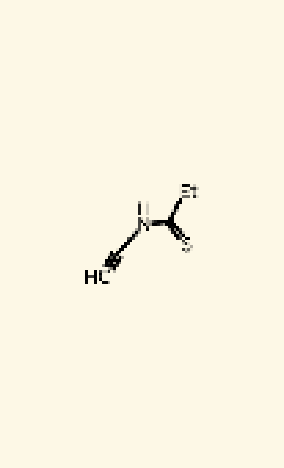 C#CNC(=S)CC